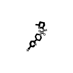 Cc1cccc(NS(=O)(=O)N2CCC(c3ccc(C#N)cn3)CC2)n1